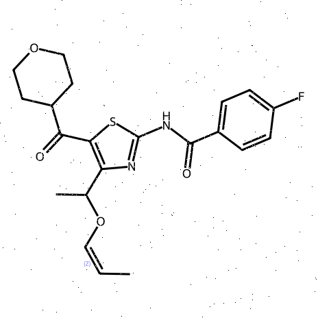 C/C=C\OC(C)c1nc(NC(=O)c2ccc(F)cc2)sc1C(=O)C1CCOCC1